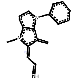 C=c1/c(=C\C=N)n(C)c2ccn(-c3ccccc3)c12